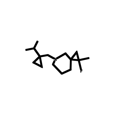 CC(C)C1(CN2CCCC3(C2)CC3(C)F)CC1